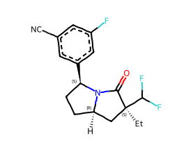 CC[C@]1(C(F)F)C[C@H]2CC[C@@H](c3cc(F)cc(C#N)c3)N2C1=O